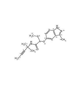 CC#CC(C)(C)NC(=O)C(Oc1ccc2[nH]nc(C)c2c1)SC